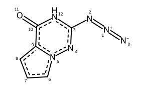 [N-]=[N+]=Nc1nn2cccc2c(=O)[nH]1